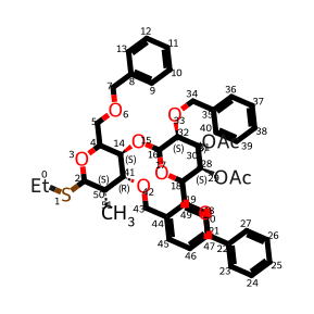 CCSC1OC(COCc2ccccc2)[C@@H](OC2OC(COCc3ccccc3)[C@H](OC(C)=O)[C@H](OC(C)=O)[C@@H]2OCc2ccccc2)[C@H](OCc2ccccc2)[C@@H]1C